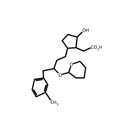 Cc1cccc(CC(CCC2CCC(O)C2CC(=O)O)OC2CCCCO2)c1